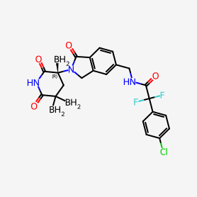 BC1(B)C[C@@](B)(N2Cc3cc(CNC(=O)C(F)(F)c4ccc(Cl)cc4)ccc3C2=O)C(=O)NC1=O